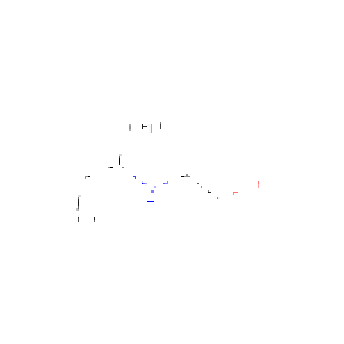 CCCCCCCCCC(CCCCCCC)NCCO